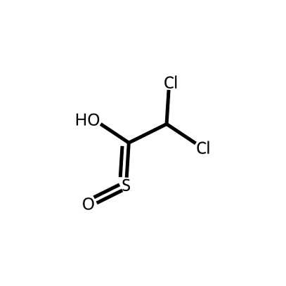 O=S=C(O)C(Cl)Cl